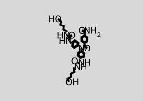 NC(=O)c1ccc(C(=O)N(c2ccc(NC(=O)NCCCCCO)cc2)c2ccc(NC(=O)NCCCCCO)cc2)cc1